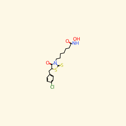 O=C(CCCCCCN1C(=O)C(Cc2ccc(Cl)cc2)SC1=S)NO